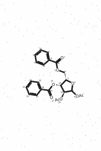 CC(=O)OC1O[C@@H](COC(=O)c2ccccc2)[C@@H](OC(=O)c2ccccc2)[C@@H]1OC(C)=O